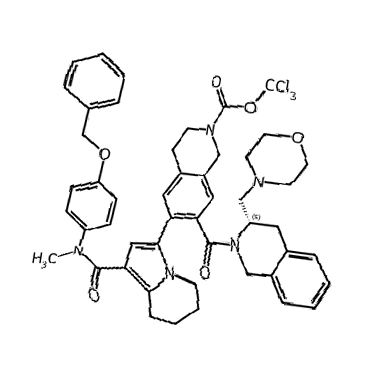 CN(C(=O)c1cc(-c2cc3c(cc2C(=O)N2Cc4ccccc4C[C@H]2CN2CCOCC2)CN(C(=O)OC(Cl)(Cl)Cl)CC3)n2c1CCCC2)c1ccc(OCc2ccccc2)cc1